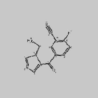 CCn1cncc1C(=O)c1ccc(F)c(C#N)c1